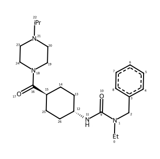 CCN(Cc1ccccc1)C(=O)N[C@H]1CC[C@H](C(=O)N2CCN(C(C)C)CC2)CC1